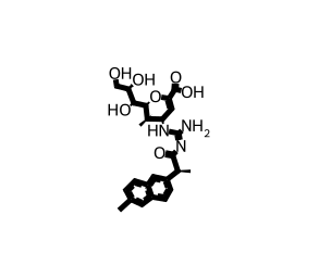 Cc1ccc2cc([C@H](C)C(=O)/N=C(/N)N[C@H]3C=C(C(=O)O)O[C@@H]([C@H](O)[C@H](O)CO)[C@@H]3C)ccc2c1